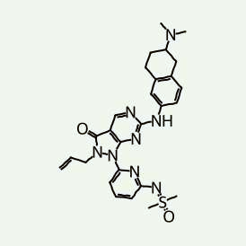 C=CCn1c(=O)c2cnc(Nc3ccc4c(c3)CCC(N(C)C)C4)nc2n1-c1cccc(N=S(C)(C)=O)n1